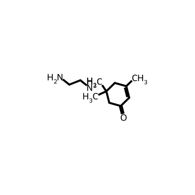 CC1=CC(=O)CC(C)(C)C1.NCCN